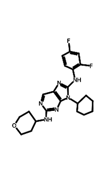 Fc1ccc(Nc2nc3cnc(NC4CCOCC4)nc3n2C2CCCCC2)c(F)c1